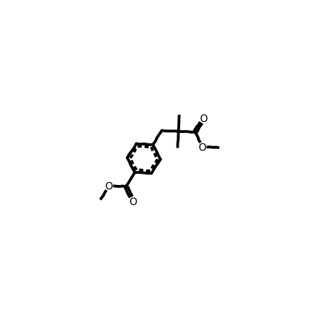 COC(=O)c1ccc(CC(C)(C)C(=O)OC)cc1